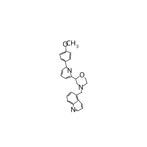 COc1ccc(-c2cccc(C3CN(Cc4cccc5ncccc45)CCO3)n2)cc1